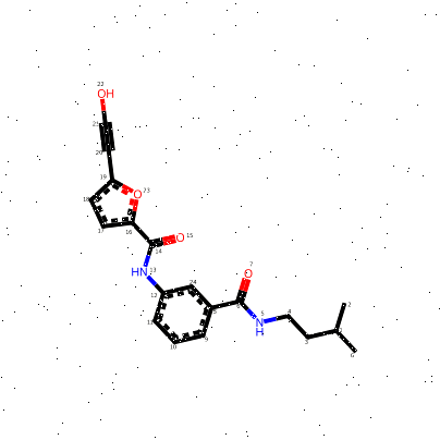 CC(C)CCNC(=O)c1cccc(NC(=O)c2ccc(C#CO)o2)c1